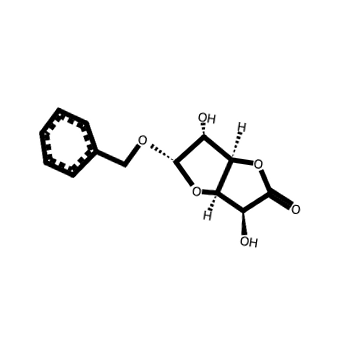 O=C1O[C@@H]2[C@@H](O)[C@@H](OCc3ccccc3)O[C@@H]2[C@@H]1O